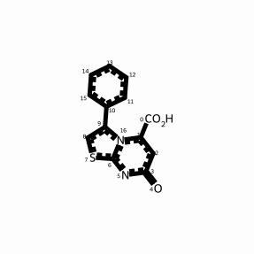 O=C(O)c1cc(=O)nc2scc(-c3ccccc3)n12